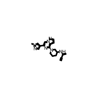 C#CC(=C)NC1CCCN(c2nc(-c3cnn(C)c3)cn3nccc23)C1